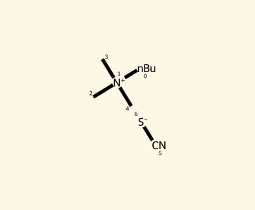 CCCC[N+](C)(C)C.N#C[S-]